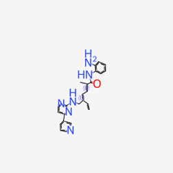 C=C/C(=C\C=C(/C)C(=O)Nc1ccccc1N)CNc1nccc(-c2cccnc2)n1